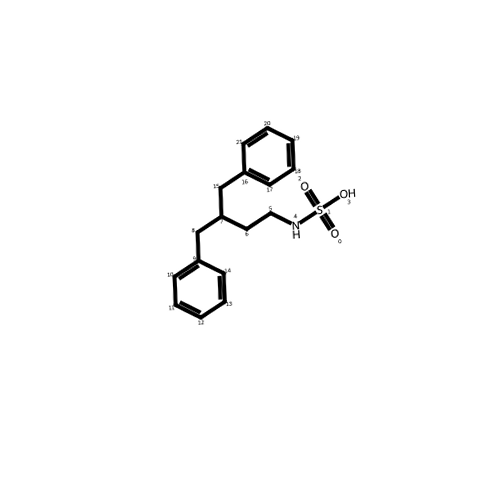 O=S(=O)(O)NCCC(Cc1ccccc1)Cc1ccccc1